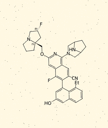 CCc1cccc2cc(O)cc(-c3c(C#N)cc4c(N5CC6CCC(C5)N6)nc(OC[C@@]56CCCN5C[C@H](F)C6)cc4c3F)c12